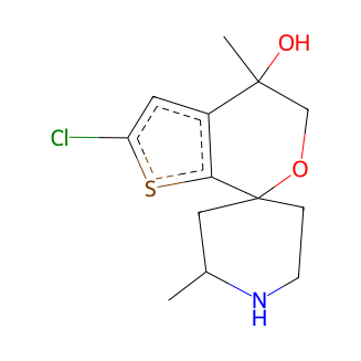 CC1CC2(CCN1)OCC(C)(O)c1cc(Cl)sc12